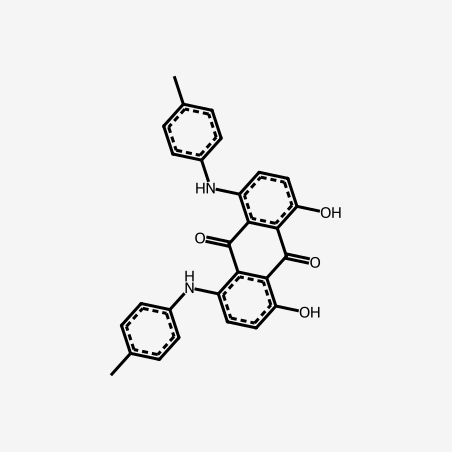 Cc1ccc(Nc2ccc(O)c3c2C(=O)c2c(Nc4ccc(C)cc4)ccc(O)c2C3=O)cc1